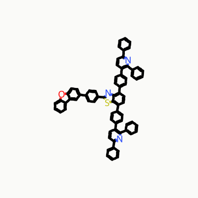 c1ccc(-c2ccc(-c3ccc(-c4ccc(-c5ccc(-c6ccc(-c7ccccc7)nc6-c6ccccc6)cc5)c5sc(-c6ccc(-c7ccc8oc9ccccc9c8c7)cc6)nc45)cc3)c(-c3ccccc3)n2)cc1